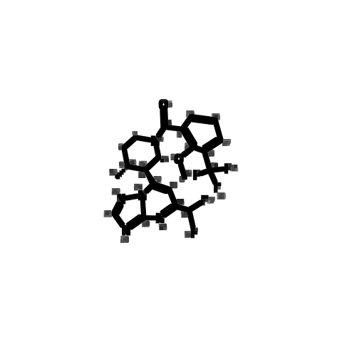 COc1c(C(=O)N2CC[C@@H](C)[C@H](c3cc(C(F)F)nc4ncnn34)C2)cccc1C(F)(F)F